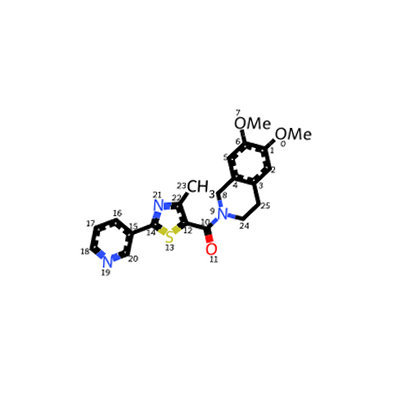 COc1cc2c(cc1OC)CN(C(=O)c1sc(-c3cccnc3)nc1C)CC2